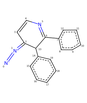 [N-]=[N+]=C1C=CN=C(c2ccccc2)C1c1ccccc1